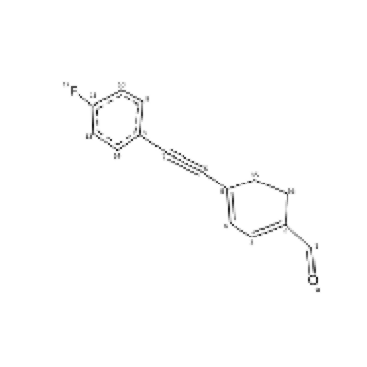 O=CC1=CC=C(C#Cc2ccc(F)cc2)CC1